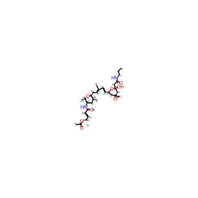 CCCNC(=O)C[C@]1(O)C[C@]2(CO2)C[C@@H](C=CC(C)=CC[C@@H]2O[C@H](C)[C@H](NC(=O)C=C[C@H](C)OC(C)=O)C[C@@H]2C)O1